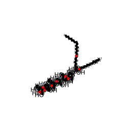 CCCCCCCC/C=C\CCCCCCCCCCCCCC(=O)N[C@@H](CO[C@@H]1OC(CO)[C@@H](O[C@@H]2OC(CO)[C@H](O[C@@H]3OC(CO)[C@H](O)[C@H](O[C@@H]4OC(CO)[C@H](O)[C@H](O[C@@H]5OC(CO)[C@H](O)[C@H](O[C@H]6OC(CO)[C@H](O)[C@H](O)C6NC(C)=O)C5O)C4NC(C)=O)C3O)[C@H](O)C2O)[C@H](O)C1O)[C@H](O)/C=C/CCCCCCCCCCCCC